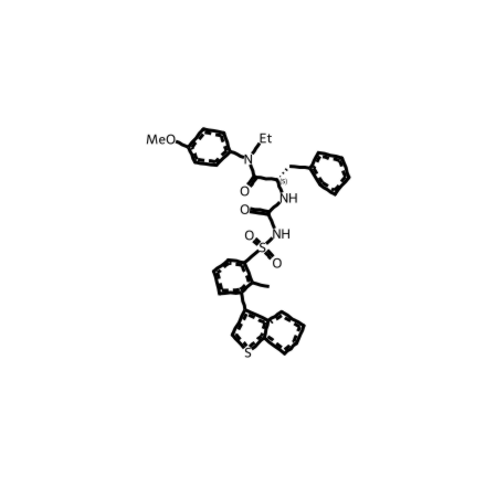 CCN(C(=O)[C@H](Cc1ccccc1)NC(=O)NS(=O)(=O)c1cccc(-c2csc3ccccc23)c1C)c1ccc(OC)cc1